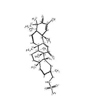 CCCS(=O)(=O)NC[C@@]1(C)CC[C@]2(C)CC[C@@]3(C)[C@]4(C)CC[C@H]5C(C)(C)C(=O)C(C#N)=C[C@]5(C)C4=CC(=O)[C@]3(O)[C@@H]2C1